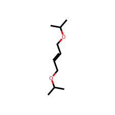 CC(C)OC/C=C/COC(C)C